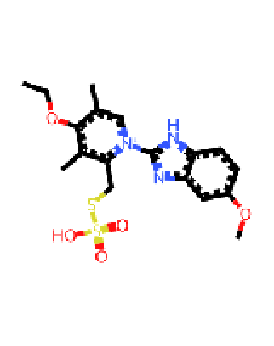 CCOc1c(C)c[n+](-c2nc3cc(OC)ccc3[nH]2)c(CSS(=O)(=O)O)c1C